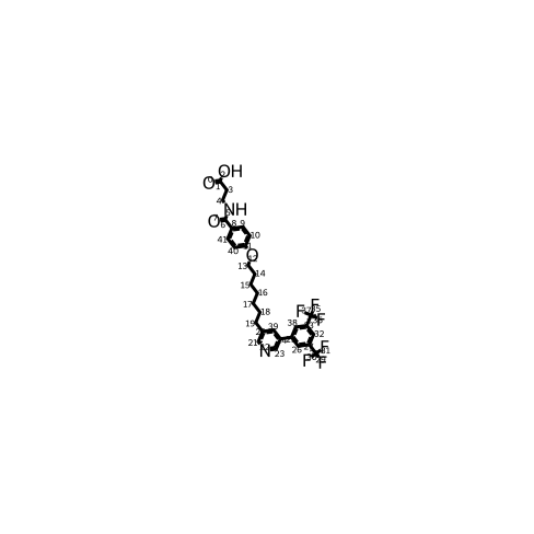 O=C(O)CCNC(=O)c1ccc(OCCCCCCCc2cncc(-c3cc(C(F)(F)F)cc(C(F)(F)F)c3)c2)cc1